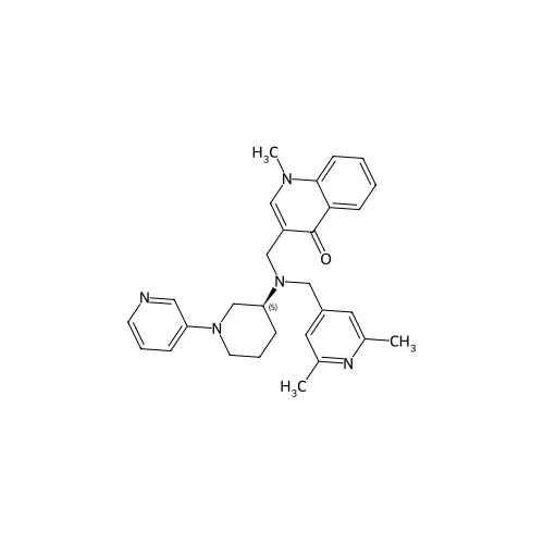 Cc1cc(CN(Cc2cn(C)c3ccccc3c2=O)[C@H]2CCCN(c3cccnc3)C2)cc(C)n1